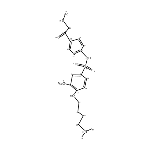 COc1cc(S(=O)(=O)Nc2ccc(C(=O)CSC(C)=O)cn2)ccc1OCCCCN(C)C